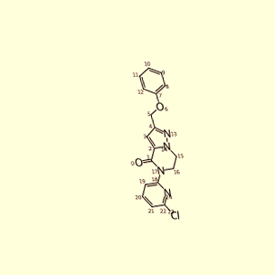 O=C1c2cc(COc3ccccc3)nn2CCN1c1cccc(Cl)n1